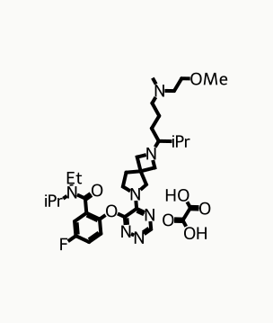 CCN(C(=O)c1cc(F)ccc1Oc1nncnc1N1CCC2(C1)CN(C(CCCN(C)CCOC)C(C)C)C2)C(C)C.O=C(O)C(=O)O